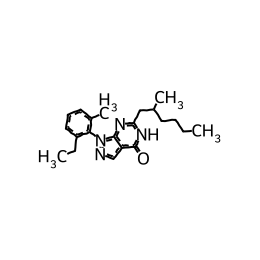 CCCCC(C)Cc1nc2c(cnn2-c2c(C)cccc2CC)c(=O)[nH]1